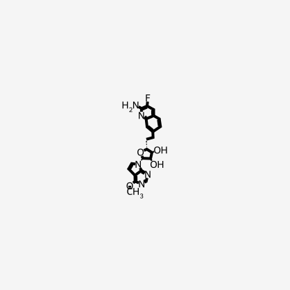 COc1ncnc2c1ccn2[C@@H]1O[C@H](CCc2ccc3cc(F)c(N)nc3c2)[C@@H](O)[C@H]1O